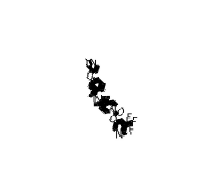 O=C(Oc1cncc(C(F)(F)F)c1)N1CCC2(CC1)CN(Cc1cccc(Oc3ccnnc3)c1)C2